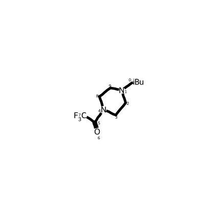 CCC(C)N1CCN(C(=O)C(F)(F)F)CC1